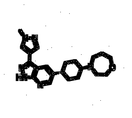 Cn1cc(-c2n[nH]c3ncc([C@H]4CC[C@H](N5CCCOCC5)CC4)cc23)cn1